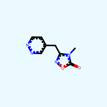 Cn1c(Cc2ccnnc2)noc1=O